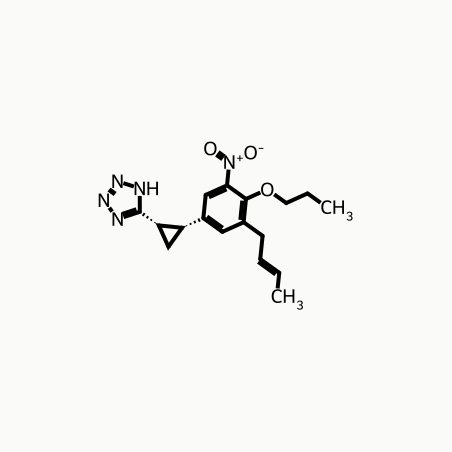 CC=CCc1cc([C@@H]2C[C@@H]2c2nnn[nH]2)cc([N+](=O)[O-])c1OCCC